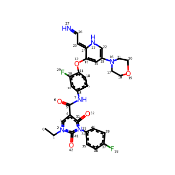 CCn1cc(C(=O)Nc2ccc(OC3=CC(N4CCOCC4)=CN/C3=C\C=N)c(F)c2)c(=O)n(-c2ccc(F)cc2)c1=O